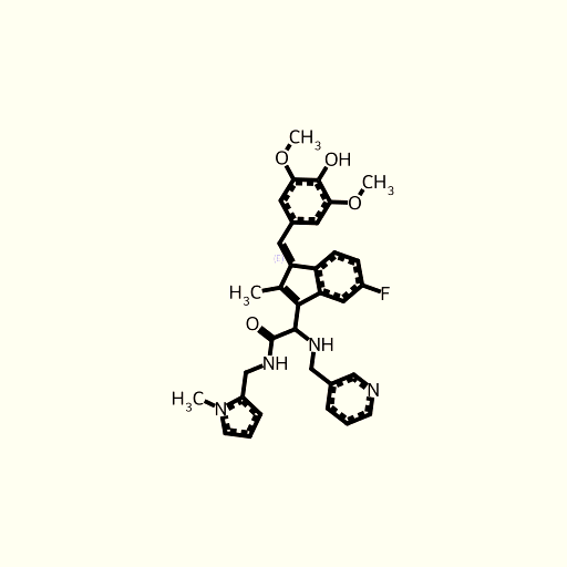 COc1cc(/C=C2/C(C)=C(C(NCc3cccnc3)C(=O)NCc3cccn3C)c3cc(F)ccc32)cc(OC)c1O